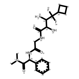 CN(C)C(=O)[C@@H](NC(=O)CNC(=O)C(O)C(N)C(F)(F)C1CCC1)c1ccccc1